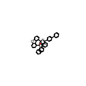 c1ccc(-c2ccc(-c3nc(-c4ccccc4)nc(-c4cccc5oc6cccc(-c7nc8ccccc8n7-c7ccccc7)c6c45)n3)cc2)cc1